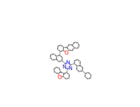 c1ccc(-c2ccc3c(-c4nc(-c5cc(-c6cccc7c6oc6cc8ccccc8cc67)c6ccccc6c5)nc(-c5cccc6oc7ccccc7c56)n4)cccc3c2)cc1